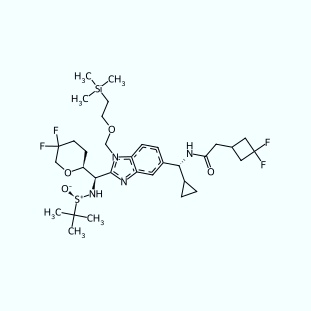 CC(C)(C)[S@@+]([O-])N[C@H](c1nc2cc([C@H](NC(=O)CC3CC(F)(F)C3)C3CC3)ccc2n1COCC[Si](C)(C)C)[C@@H]1CCC(F)(F)CO1